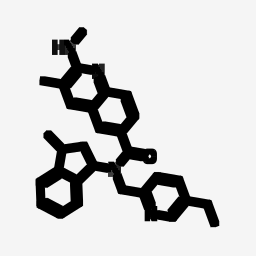 CCc1ccc(CN(C(=O)c2ccc3nc(NC)c(C)cc3c2)C2CC(C)c3ccccc32)nc1